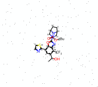 CC(O)c1cc(-c2nccs2)c2oc(N3CC4CCC(C3)N4C(=O)OC(C)(C)C)nc2c1C(F)(F)F